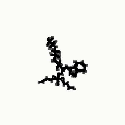 CCCCOP(=S)(OCCCC)SCN(Cn1nnc2ccccc21)C(C)(C)CC(C)(C)C(C)(C)CC(C)(C)C(C)(C)C